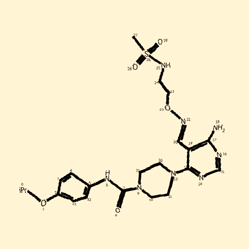 CC(C)Oc1ccc(NC(=O)N2CCN(c3ncnc(N)c3/C=N/OCCNS(C)(=O)=O)CC2)cc1